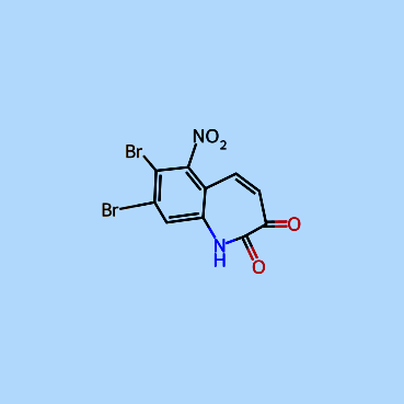 O=c1ccc2c([N+](=O)[O-])c(Br)c(Br)cc2[nH]c1=O